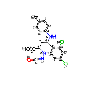 CCc1ccc(N[C@H]2C[C@H](C(=O)O)N(N=C=O)c3cc(Cl)cc(Cl)c32)cc1